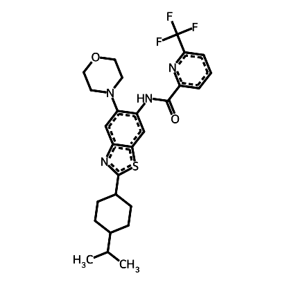 CC(C)C1CCC(c2nc3cc(N4CCOCC4)c(NC(=O)c4cccc(C(F)(F)F)n4)cc3s2)CC1